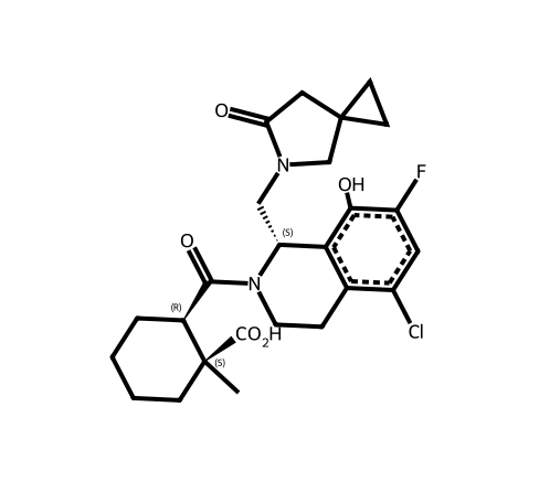 C[C@]1(C(=O)O)CCCC[C@H]1C(=O)N1CCc2c(Cl)cc(F)c(O)c2[C@H]1CN1CC2(CC2)CC1=O